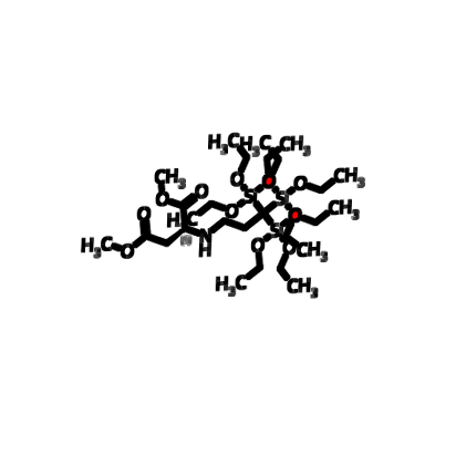 CCO[Si](OCC)(OCC)C(CCN[C@@H](CC(=O)OC)C(=O)OC)([Si](OCC)(OCC)OCC)[Si](OCC)(OCC)OCC